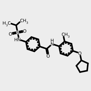 Cc1cc(OC2CCCC2)ccc1NC(=O)c1ccc(NS(=O)(=O)C(C)C)cc1